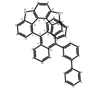 c1ccc(-c2cccc(-c3c4ccccc4c(-c4cccc5oc6ccc7oc8ccccc8c7c6c45)c4ccccc34)c2)cc1